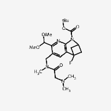 COC(OC)c1nc2c(cc1CN(C)C(=O)CN(C)C)C1(F)CC(C1)N2C(=O)OC(C)(C)C